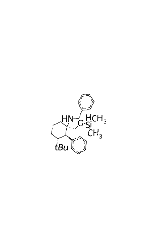 C[SiH](C)OC[C@@]1(NCc2ccccc2)CCC[C@@H](C(C)(C)C)[C@@H]1c1ccccc1